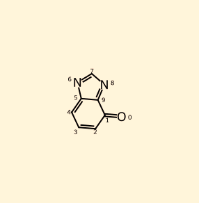 O=C1C=CC=C2N=CN=C12